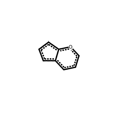 [c]1ccc2cccoc1-2